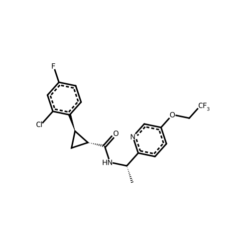 C[C@H](NC(=O)[C@@H]1C[C@H]1c1ccc(F)cc1Cl)c1ccc(OCC(F)(F)F)cn1